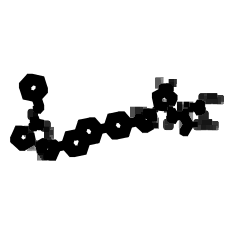 COC(=O)N[C@H](C(=O)N1CC(F)(F)C[C@H]1c1ncc(-c2ccc(-c3ccc4cc(-c5cnc([C@@H]6CCCN6C(=O)OCc6ccccc6)[nH]5)ccc4c3)cc2)[nH]1)[C@@H](C)OC